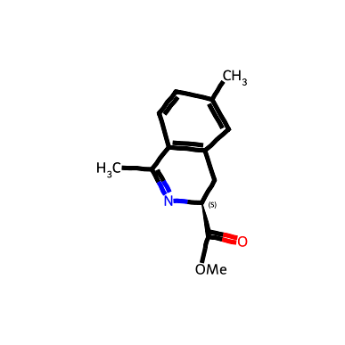 COC(=O)[C@@H]1Cc2cc(C)ccc2C(C)=N1